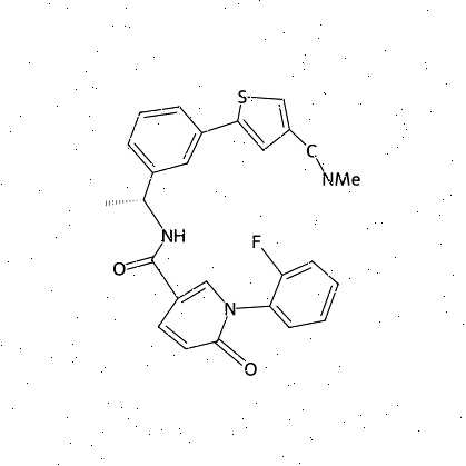 CNCc1csc(-c2cccc([C@@H](C)NC(=O)c3ccc(=O)n(-c4ccccc4F)c3)c2)c1